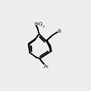 CC(=O)c1ccc([N+](=O)[O-])c(Br)c1